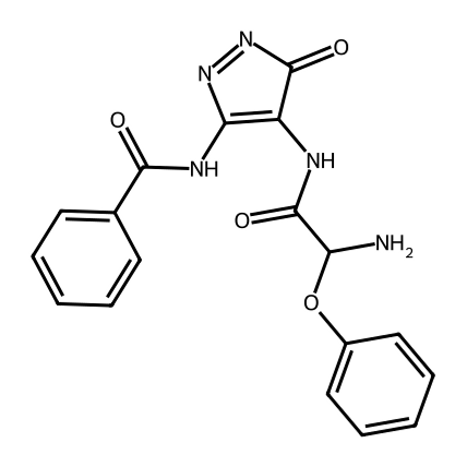 NC(Oc1ccccc1)C(=O)NC1=C(NC(=O)c2ccccc2)N=NC1=O